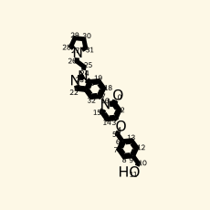 O=c1cc(OCc2ccc(CO)cc2)ccn1-c1ccc2c(cnn2CCN2CCCC2)c1